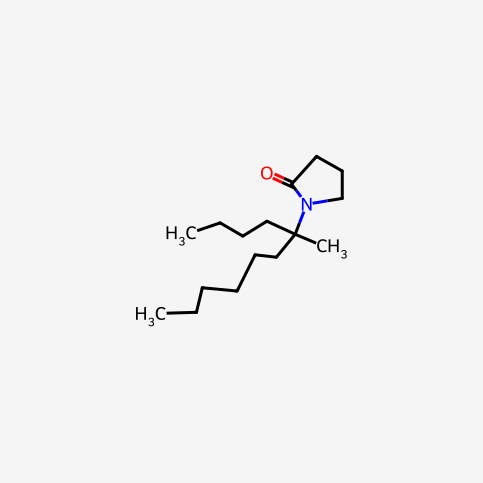 CCCCCCC(C)(CCCC)N1CCCC1=O